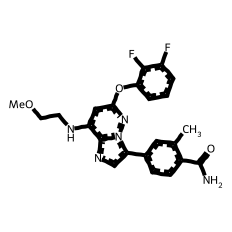 COCCNc1cc(Oc2cccc(F)c2F)nn2c(-c3ccc(C(N)=O)c(C)c3)cnc12